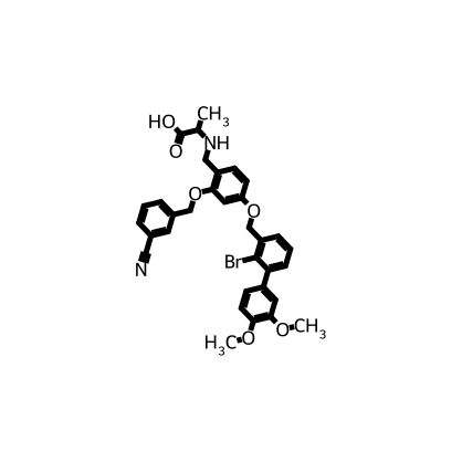 COc1ccc(-c2cccc(COc3ccc(CNC(C)C(=O)O)c(OCc4cccc(C#N)c4)c3)c2Br)cc1OC